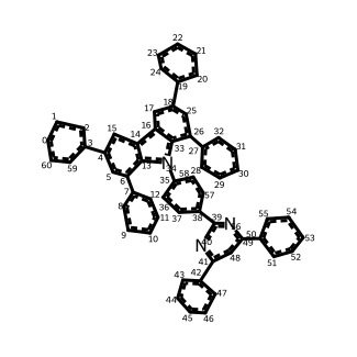 c1ccc(-c2cc(-c3ccccc3)c3c(c2)c2cc(-c4ccccc4)cc(-c4ccccc4)c2n3-c2ccc(-c3nc(-c4ccccc4)cc(-c4ccccc4)n3)cc2)cc1